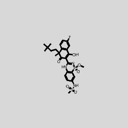 COP1(=O)N=C(C2=C(O)c3cc(F)ccc3C(C)(CCC(C)(C)C)C2=O)Nc2ccc(NS(C)(=O)=O)cc21